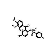 COc1ccc(C(=O)c2cc(Cl)ccc2NS(=O)(=O)c2ccc(C)cc2)c(O)c1OC